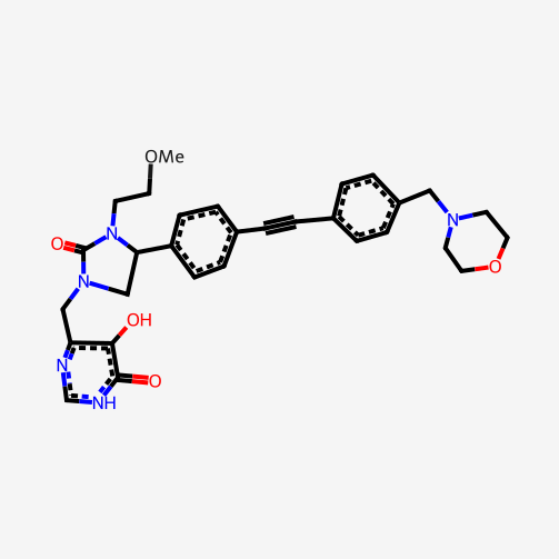 COCCN1C(=O)N(Cc2nc[nH]c(=O)c2O)CC1c1ccc(C#Cc2ccc(CN3CCOCC3)cc2)cc1